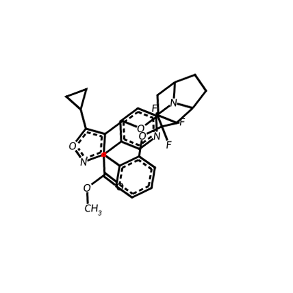 COC(=O)Cc1ccc(N2C3CCC2CC(OCc2c(-c4ccccc4OC(F)(F)F)noc2C2CC2)C3)nc1